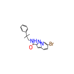 CC(C)(CNC(=O)c1cc2ccc(Br)cn2n1)c1ccccc1